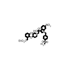 CCOC(=O)Cc1cccc(OC)c1OC1CCN(CC(O)(c2cn(Cc3ccc(S(C)(=O)=O)cc3)c3cc([N+](=O)[O-])ccc23)C(F)(F)F)CC1